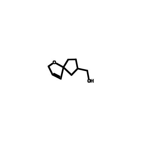 OCC1CCC2(C=CCO2)C1